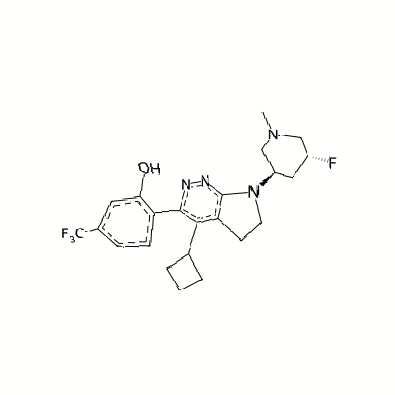 CN1C[C@H](F)C[C@@H](N2CCc3c2nnc(-c2ccc(C(F)(F)F)cc2O)c3C2CCC2)C1